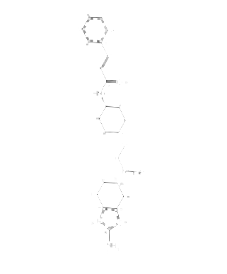 CCCN(CC[C@H]1CC[C@H](NC(=O)C=Cc2ccccc2)CC1)[C@H]1CCc2nc(N)sc2C1